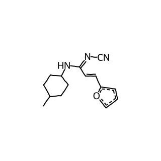 CC1CCC(NC(/C=C/c2ccco2)=N/C#N)CC1